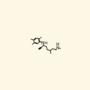 C#CC(CCC(C)CCNC)Nc1cc(C)c(C)cc1C